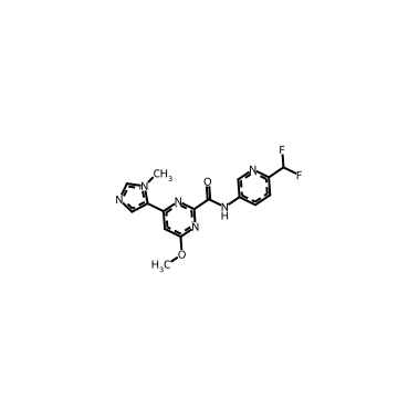 COc1cc(-c2cncn2C)nc(C(=O)Nc2ccc(C(F)F)nc2)n1